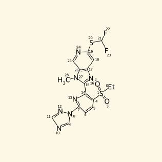 CCS(=O)(=O)c1ccc(-n2cncn2)nc1-c1nc2cc(SC(F)F)ncc2n1C